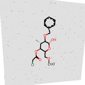 C[C@@H]1C(OCc2ccccc2)[C@H](O)OC(COC=O)[C@H]1OC(=O)CCl